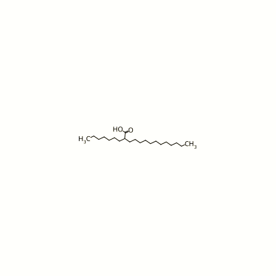 CCCCCCCCCCCCC(CCCCCCC)C(=O)O